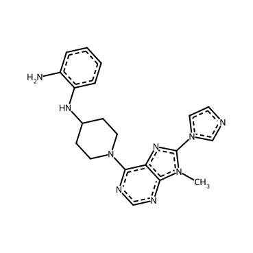 Cn1c(-n2ccnc2)nc2c(N3CCC(Nc4ccccc4N)CC3)ncnc21